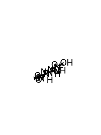 CC(C)Nc1cc(Nc2ccnc(-c3cnn(S(=O)(=O)C4CC4)c3)n2)ncc1C(=O)NC[C@@H](F)C(C)(C)O